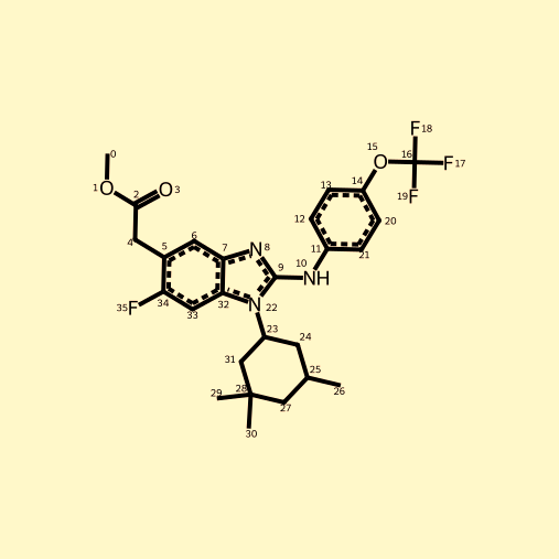 COC(=O)Cc1cc2nc(Nc3ccc(OC(F)(F)F)cc3)n(C3CC(C)CC(C)(C)C3)c2cc1F